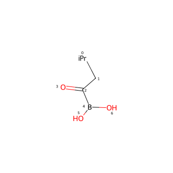 CC(C)CC(=O)B(O)O